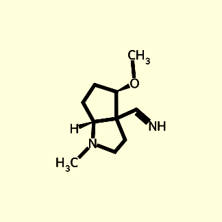 CO[C@@H]1CC[C@H]2N(C)CCC12C=N